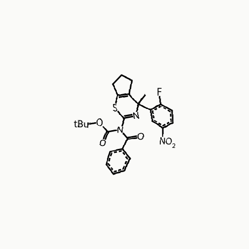 CC(C)(C)OC(=O)N(C(=O)c1ccccc1)C1=NC(C)(c2cc([N+](=O)[O-])ccc2F)C2=C(CCC2)S1